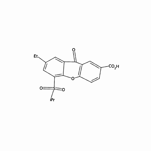 CCc1cc(S(=O)(=O)C(C)C)c2oc3ccc(C(=O)O)cc3c(=O)c2c1